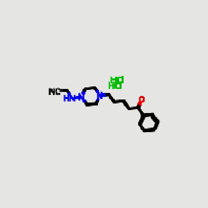 Cl.Cl.N#CCNN1CCN(CCCCC(=O)c2ccccc2)CC1